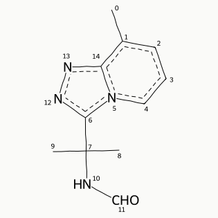 Cc1cccn2c(C(C)(C)NC=O)nnc12